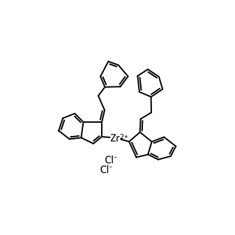 C1=[C]([Zr+2][C]2=Cc3ccccc3C2=CCc2ccccc2)C(=CCc2ccccc2)c2ccccc21.[Cl-].[Cl-]